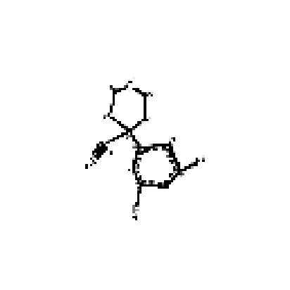 N#CC1(c2cc(F)cc(F)c2)CCOCC1